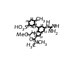 COCCn1c(C(=O)N(C)C)cc2cc(NC(=N)N)cc(Cl)c21.Cc1ccc(S(=O)(=O)O)cc1